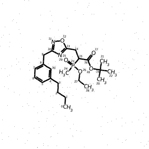 CCCCc1cccc(Cc2noc(CC(C(=O)OC(C)(C)C)P(C)(=O)OCC)n2)c1